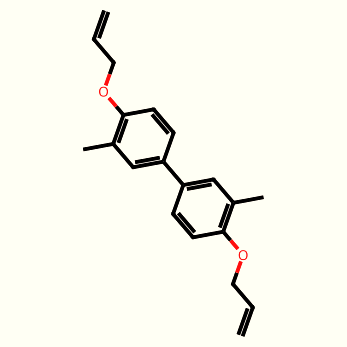 C=CCOc1ccc(-c2ccc(OCC=C)c(C)c2)cc1C